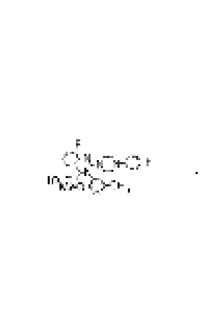 COc1ccc(C)cc1N1C(N2CCN(c3ccc(F)cc3)CC2)=Nc2c(F)cccc2C1CC(=O)O